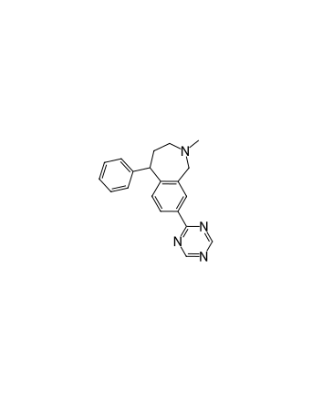 CN1CCC(c2ccccc2)c2ccc(-c3ncncn3)cc2C1